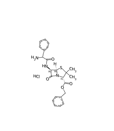 CC1(C)S[C@@H]2[C@H](NC(=O)C(N)c3ccccc3)C(=O)N2[C@H]1C(=O)OCc1ccccc1.Cl